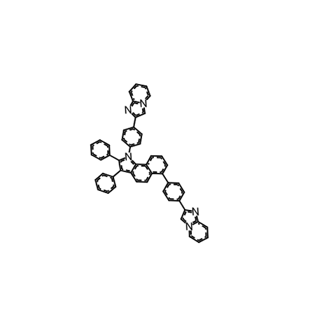 c1ccc(-c2c(-c3ccccc3)n(-c3ccc(-c4cn5ccccc5n4)cc3)c3c2ccc2c(-c4ccc(-c5cn6ccccc6n5)cc4)cccc23)cc1